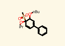 CCCCOC1C=C(c2ccccc2)C=CC1(OC(C)C)S(C)(=O)=O